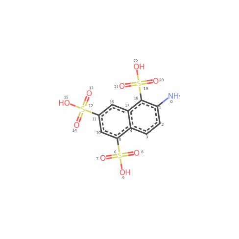 [NH]c1ccc2c(S(=O)(=O)O)cc(S(=O)(=O)O)cc2c1S(=O)(=O)O